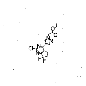 CCOC(=O)Cn1cc(-c2nc(Cl)nc3c2CCC3(F)F)cn1